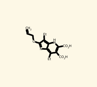 C=CCOc1nc2c(CC)c(C(=O)O)c(C(=O)O)[nH]c-2c1CC